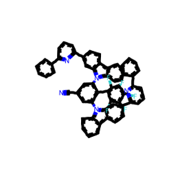 N#Cc1cc(-n2c3ccccc3c3ccc(-c4cccc(-c5ccccc5)n4)cc32)c(-c2c(F)c(F)c(F)c(F)c2F)c(-n2c3ccccc3c3ccc(-c4cccc(-c5ccccc5)n4)cc32)c1